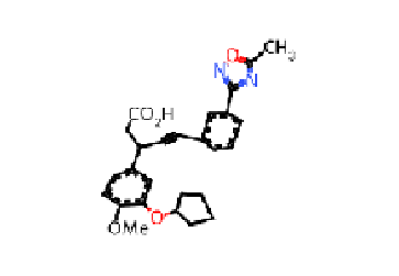 COc1ccc(C(C#Cc2cccc(-c3noc(C)n3)c2)CC(=O)O)cc1OC1CCCC1